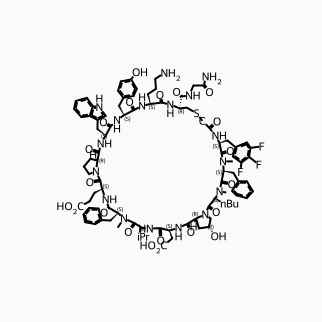 CCCC[C@H]1C(=O)N2C[C@H](O)C[C@@H]2C(=O)N[C@@H](CC(=O)O)C(=O)N[C@@H](C(C)C)C(=O)N(C)[C@@H](Cc2ccccc2)C(=O)N[C@@H](CCC(=O)O)C(=O)N2CCC[C@@H]2C(=O)N[C@@H](Cc2c[nH]c3ccccc23)C(=O)N[C@@H](Cc2ccc(O)cc2)C(=O)N[C@@H](CCCN)C(=O)N[C@H](C(=O)NCC(N)=O)CSCC(=O)N[C@@H](Cc2cc(F)c(F)c(F)c2)C(=O)N(C)[C@@H](Cc2ccccc2)C(=O)N1C